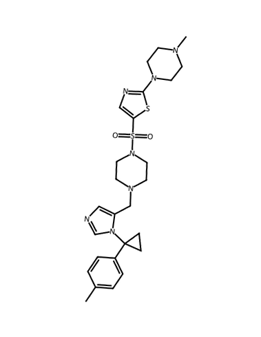 Cc1ccc(C2(n3cncc3CN3CCN(S(=O)(=O)c4cnc(N5CCN(C)CC5)s4)CC3)CC2)cc1